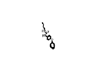 [CH2]CCCNC(=O)Nc1ccc(Oc2ccccc2)cc1